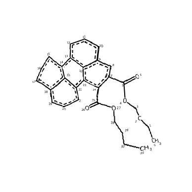 CCCCOC(=O)c1cc2cccc3c4cccc5cccc(c(c1C(=O)OCCCC)c23)c54